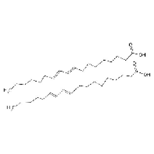 CCCCCC=CC=CCCCCCCCCC(=O)O.CCCCCCC=CC=CCCCCCCCC(=O)O